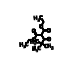 CCOC(=O)C(C(=O)OCC)C(=O)C(C)(C)C